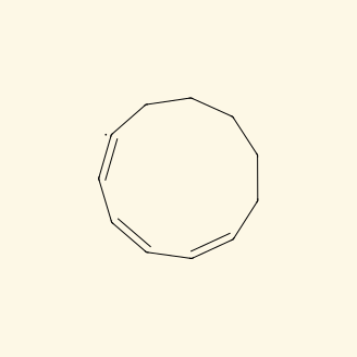 [C]1=CC=CC=CCCCCC1